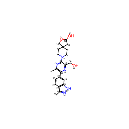 Cc1nc(N2CCC3(CC2)CO[C@@H](O)C3)c(CO)nc1-c1ccc2c(C)n[nH]c2c1